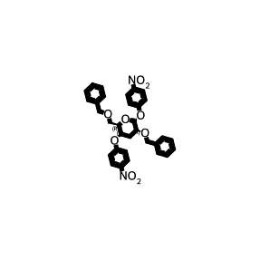 O=[N+]([O-])c1ccc(O[C@H]2O[C@H](COCc3ccccc3)[C@H](Oc3ccc([N+](=O)[O-])cc3)C[C@H]2OCc2ccccc2)cc1